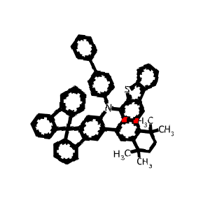 CC1(C)CCC(C)(C)c2cc(-c3cc4c(cc3N(c3ccc(-c5ccccc5)cc3)c3cccc5c3sc3ccccc35)C3(c5ccccc5-c5ccccc53)c3ccccc3-4)ccc21